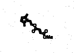 COC(=O)/C=C/C(=O)OCCn1c(C)ccc1C